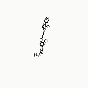 CON=Cc1ccc(OCCCCCN2CCN(c3ccncc3)C2=O)c(Cl)c1